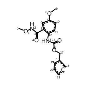 CONC(=O)c1cc(OC)ccc1NC(=O)OCc1ccccc1